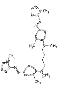 Cc1cc(N=Nc2scc[n+]2C)ccc1N(C)CCCCN(C)c1ccc(N=Nc2scc[n+]2C)cc1C